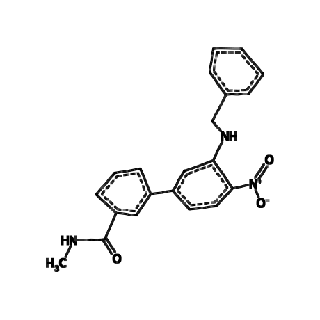 CNC(=O)c1cccc(-c2ccc([N+](=O)[O-])c(NCc3ccccc3)c2)c1